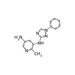 Cc1ncc(N)cc1Nc1ncn(-c2ccccc2)n1